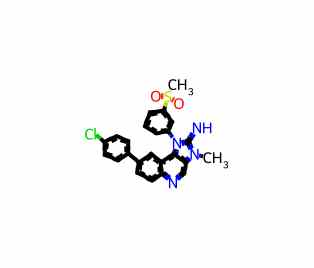 Cn1c(=N)n(-c2cccc(S(C)(=O)=O)c2)c2c3cc(-c4ccc(Cl)cc4)ccc3ncc21